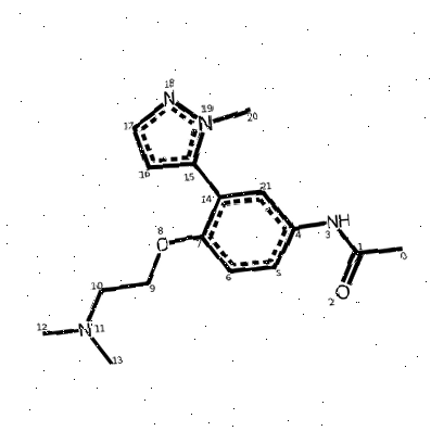 CC(=O)Nc1ccc(OCCN(C)C)c(-c2ccnn2C)c1